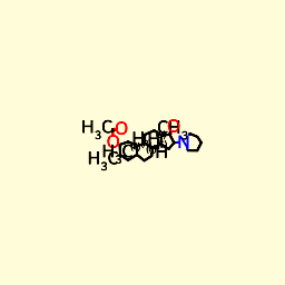 CC(=O)OC1C[C@@]2(C)C(CC[C@@H]3[C@H]2CC[C@]2(C)C(=O)C(N4CCCCC4)C[C@@H]32)CC1C